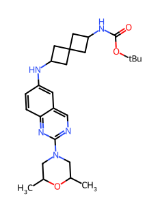 CC1CN(c2ncc3cc(NC4CC5(CC(NC(=O)OC(C)(C)C)C5)C4)ccc3n2)CC(C)O1